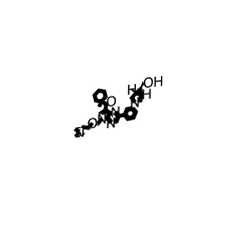 CC1(C(=O)c2cn(COCC[Si](C)(C)C)c3ncc(-c4cccc(N5C[C@@H]6[C@@H](CO)[C@@H]6C5)c4)nc23)CCCCC1